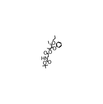 CCCO[C@@H](CC)[C@@H](Oc1ccccc1)[C@H](C)OC(=O)CNC(=O)OC(C)(C)C